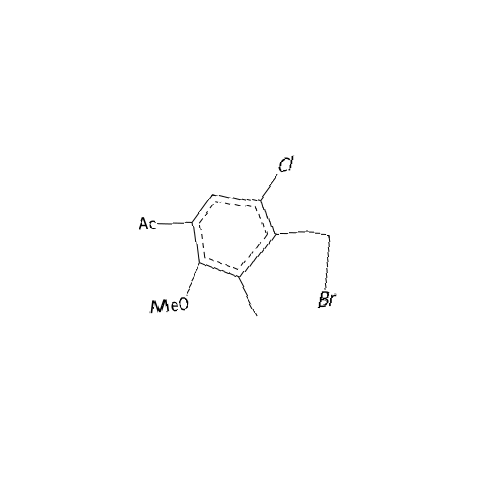 COc1c(C(C)=O)cc(Cl)c(CBr)c1C